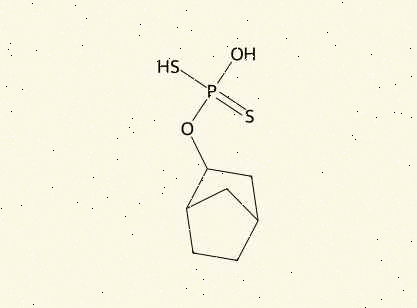 OP(=S)(S)OC1CC2CCC1C2